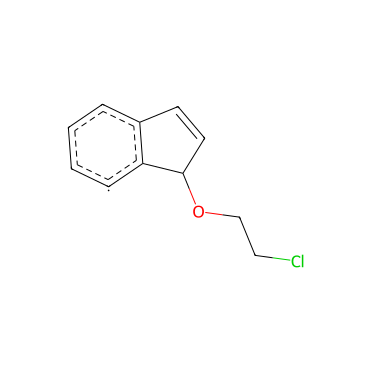 ClCCOC1C=Cc2ccc[c]c21